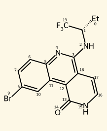 CC[C@H](Nc1nc2ccc(Br)cc2c2c(=O)[nH]ccc12)C(F)(F)F